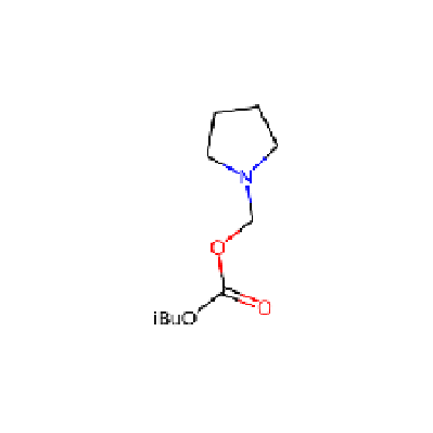 CC(C)COC(=O)OCN1CCCC1